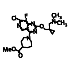 COC(=O)C1CCCN(c2nc(OCC3(CN(C)C)CC3)nc3c(F)c(Cl)ncc23)CC1